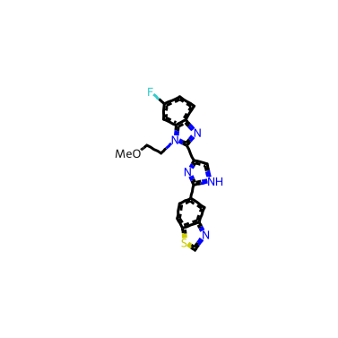 COCCn1c(-c2c[nH]c(-c3ccc4scnc4c3)n2)nc2ccc(F)cc21